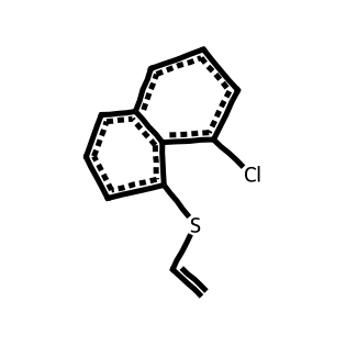 C=CSc1cccc2cccc(Cl)c12